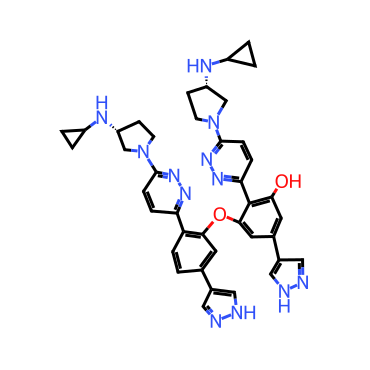 Oc1cc(-c2cn[nH]c2)cc(Oc2cc(-c3cn[nH]c3)ccc2-c2ccc(N3CC[C@@H](NC4CC4)C3)nn2)c1-c1ccc(N2CC[C@H](NC3CC3)C2)nn1